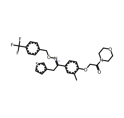 Cc1cc(/C(Cc2ccsc2)=N/OCc2ccc(C(F)(F)F)cc2)ccc1OCC(=O)N1CCOCC1